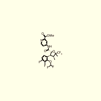 COC(=O)c1cc(NC(=O)[C@@H]2O[C@@](C)(C(F)(F)F)[C@@H](C)[C@H]2c2ccc(F)c(F)c2OC(F)F)ccn1